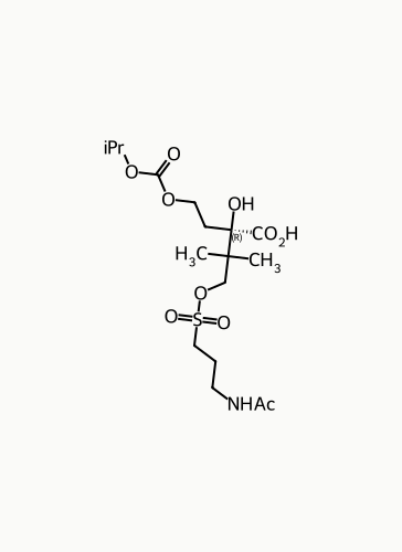 CC(=O)NCCCS(=O)(=O)OCC(C)(C)[C@](O)(CCOC(=O)OC(C)C)C(=O)O